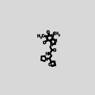 Cn1c(=O)c2c(ncn2CC(=O)NCC(c2ccco2)N2CCCC2)n(C)c1=O